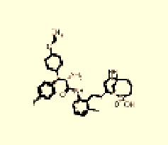 CCOC1CCC([C@H](c2ccc(F)cc2)[C@H](N)C(=O)Nc2cccc(F)c2CC[C@H]2CN[C@@H]3CCCS(O)(O)N2C3)CC1